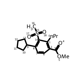 CCCc1c(C(=O)OC)ccc(C2CCCC2)c1S(C)(=O)=O